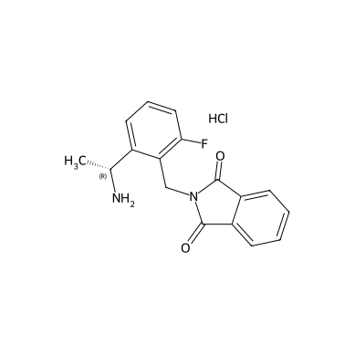 C[C@@H](N)c1cccc(F)c1CN1C(=O)c2ccccc2C1=O.Cl